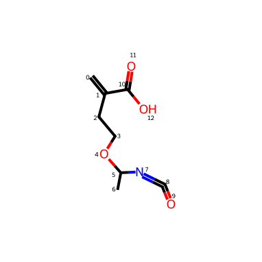 C=C(CCOC(C)N=C=O)C(=O)O